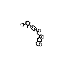 Cc1c(Cl)cccc1N1CCN(C(=O)Cc2coc3cc4c(cc23)CCCO4)CC1